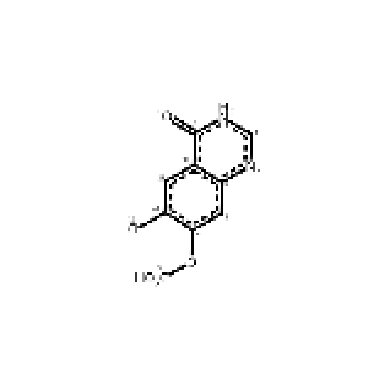 O=C(O)Oc1cc2nc[nH]c(=O)c2cc1Cl